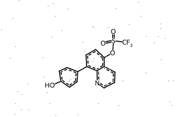 O=S(=O)(Oc1ccc(-c2ccc(O)cc2)c2ncccc12)C(F)(F)F